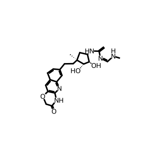 C=C(/N=C\NC)N[C@@H]1C[C@](C)(CCc2ccc3cc4c(nc3c2)NC(=O)CO4)[C@@H](O)[C@H]1O